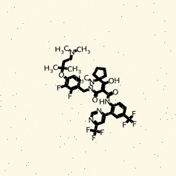 CN(C)CCC(C)(C)Oc1ccc(CN2C(=O)C(C(=O)Nc3ccc(C(F)(F)F)cc3-c3cc(C(F)(F)F)ncn3)=C(O)C3(CCCC3)N2C)c(F)c1F